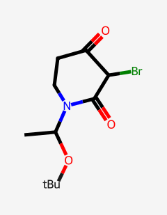 CC(OC(C)(C)C)N1CCC(=O)C(Br)C1=O